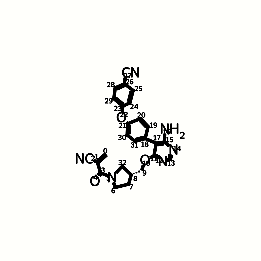 C=C(C#N)C(=O)N1CC[C@@H](COc2ncnc(N)c2-c2ccc(Oc3ccc(C#N)cc3)cc2)C1